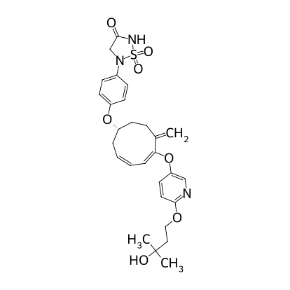 C=C1CC[C@@H](Oc2ccc(N3CC(=O)NS3(=O)=O)cc2)C/C=C\C=C/1Oc1ccc(OCCC(C)(C)O)nc1